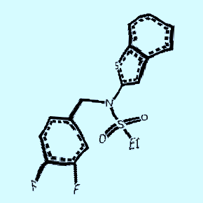 CCS(=O)(=O)N(Cc1ccc(F)c(F)c1)c1cc2ccccc2s1